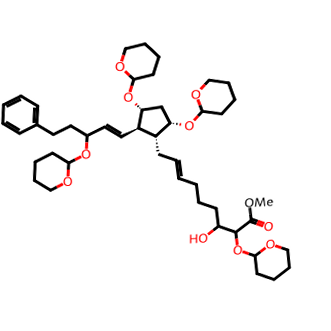 COC(=O)C(OC1CCCCO1)C(O)CCCC=CC[C@@H]1[C@@H](C=CC(CCc2ccccc2)OC2CCCCO2)[C@H](OC2CCCCO2)C[C@@H]1OC1CCCCO1